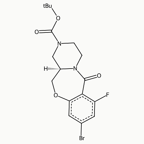 CC(C)(C)OC(=O)N1CCN2C(=O)c3c(F)cc(Br)cc3OC[C@H]2C1